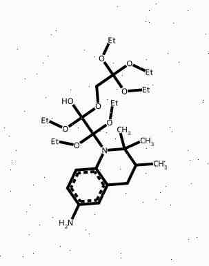 CCOC(COC(O)(OCC)C(OCC)(OCC)N1c2ccc(N)cc2CC(C)C1(C)C)(OCC)OCC